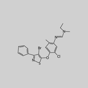 CCN(C)C=Nc1cc(Cl)c(Oc2snc(-c3ccccc3)c2Br)cc1C